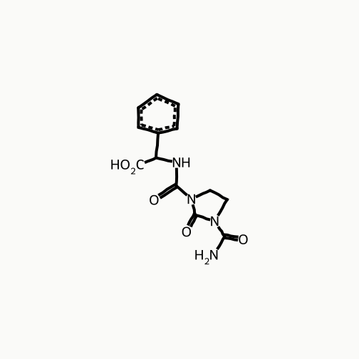 NC(=O)N1CCN(C(=O)NC(C(=O)O)c2ccccc2)C1=O